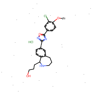 CC(C)Oc1ccc(-c2nc(-c3ccc4c(c3)CCCNC4CCCO)no2)cc1Cl.Cl